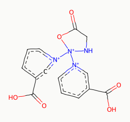 O=C1CN[N+]([n+]2cccc(C(=O)O)c2)([n+]2cccc(C(=O)O)c2)O1